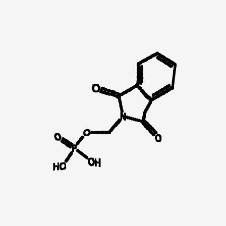 O=C1c2ccccc2C(=O)N1COP(=O)(O)O